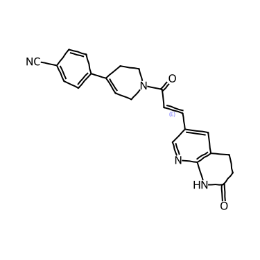 N#Cc1ccc(C2=CCN(C(=O)/C=C/c3cnc4c(c3)CCC(=O)N4)CC2)cc1